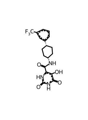 O=C(N[C@H]1CC[C@@H](c2cccc(C(F)(F)F)c2)CC1)c1[nH]c(=O)[nH]c(=O)c1O